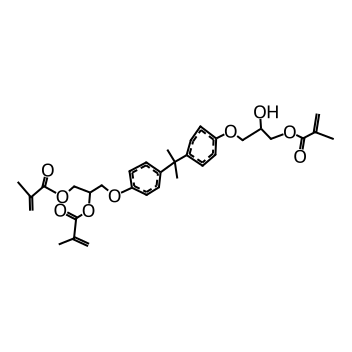 C=C(C)C(=O)OCC(O)COc1ccc(C(C)(C)c2ccc(OCC(COC(=O)C(=C)C)OC(=O)C(=C)C)cc2)cc1